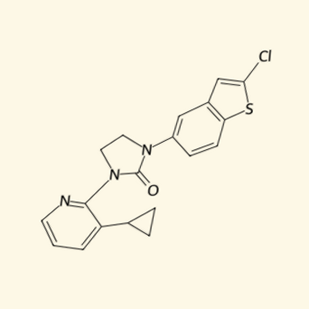 O=C1N(c2ccc3sc(Cl)cc3c2)CCN1c1ncccc1C1CC1